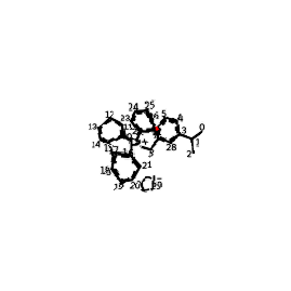 CC(C)c1cccc(C[P+](c2ccccc2)(c2ccccc2)c2ccccc2)c1.[Cl-]